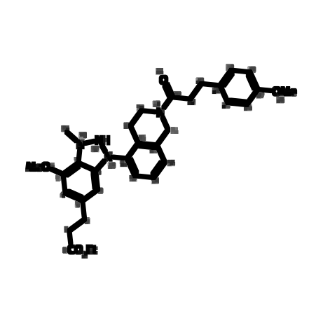 CCOC(=O)CCc1cc(OC)c2c(c1)N(c1cccc3c1CCN(C(=O)CCc1ccc(OC)cc1)C3)NN2C